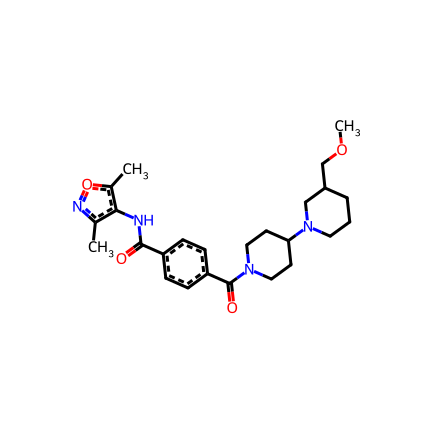 COCC1CCCN(C2CCN(C(=O)c3ccc(C(=O)Nc4c(C)noc4C)cc3)CC2)C1